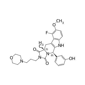 COc1ccc2[nH]c3c(c2c1F)C[C@@]1(C)C(=O)N(CCCN2CCOCC2)C(=O)N1[C@@H]3c1cccc(O)c1